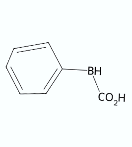 O=C(O)Bc1ccccc1